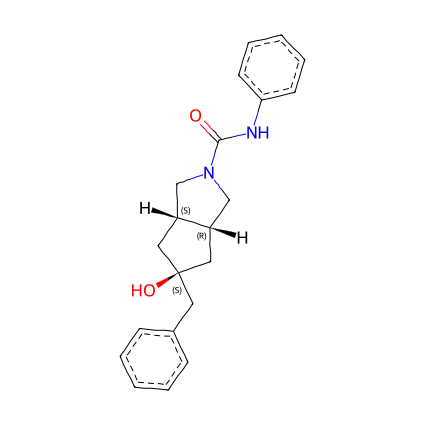 O=C(Nc1ccccc1)N1C[C@@H]2C[C@](O)(Cc3ccccc3)C[C@@H]2C1